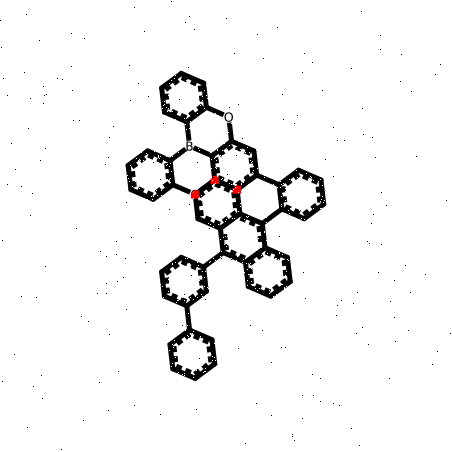 c1ccc(-c2cccc(-c3c4ccccc4c(-c4ccccc4-c4cc5c6c(c4)Oc4ccccc4B6c4ccccc4O5)c4ccccc34)c2)cc1